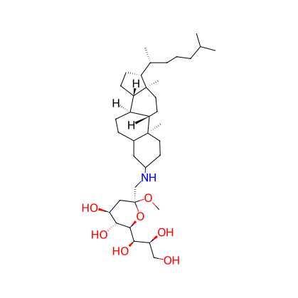 CO[C@]1(CNC2CC[C@@]3(C)C(CC[C@H]4[C@@H]5CC[C@H]([C@H](C)CCCC(C)C)[C@@]5(C)CC[C@@H]43)C2)C[C@H](O)[C@@H](O)[C@H]([C@H](O)[C@@H](O)CO)O1